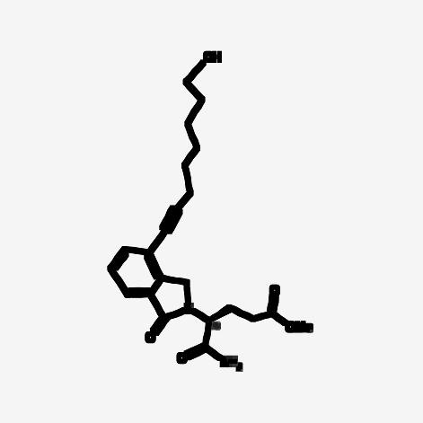 COC(=O)CC[C@@H](C(N)=O)N1Cc2c(C#CCCCCCCO)cccc2C1=O